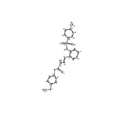 O=C(Cc1ccc(SC(F)(F)F)cc1)N/N=C/c1ccccc1OS(=O)(=O)c1ccc(C(F)(F)F)cc1